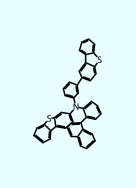 c1cc(-c2ccc3sc4ccccc4c3c2)cc(N(c2ccc3c(c2)sc2ccccc23)c2ccccc2-c2cccc3ccccc23)c1